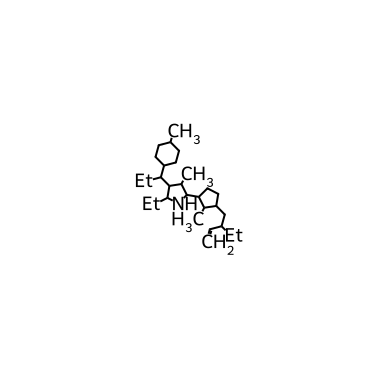 C=CC(CC)CC1CCC(C2NC(CC)C(C(CC)C3CCC(C)CC3)C2C)C1C